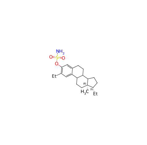 CCc1cc2c(cc1OS(N)(=O)=O)CCC1C2CC[C@@]2(C)C1CC[C@@H]2CC